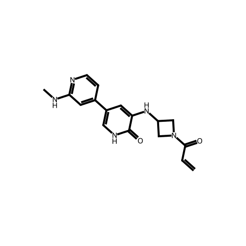 C=CC(=O)N1CC(Nc2cc(-c3ccnc(NC)c3)c[nH]c2=O)C1